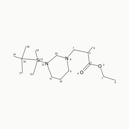 CCOC(=O)C(C)CN1CCCN([Si](C)(C)C(C)(C)C)C1